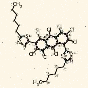 CCCCCCc1nnc(-c2c(Cl)c(Cl)c3c(Cl)c4c(-c5nnc(CCCCCC)s5)c(Cl)c(Cl)c(Cl)c4c(Cl)c3c2Cl)s1